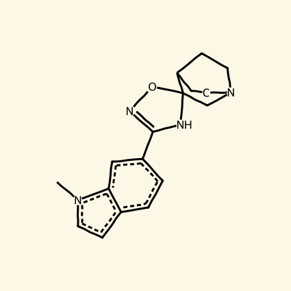 Cn1ccc2ccc(C3=NOC4(CN5CCC4CC5)N3)cc21